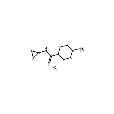 Cl.NC1CCC(C(=O)NC2CC2)CC1